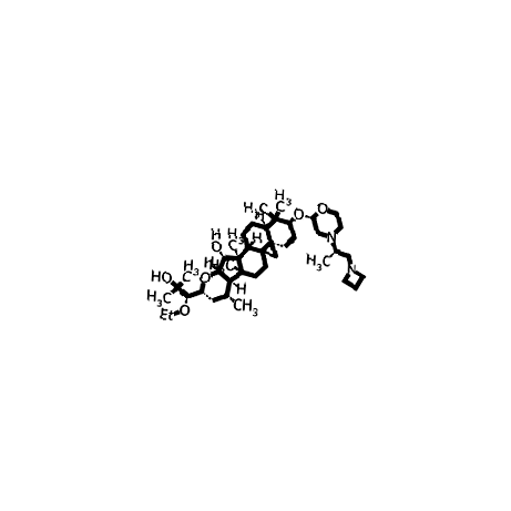 CCO[C@@H]([C@H]1C[C@@H](C)[C@H]2[C@H](O1)[C@H](O)[C@@]1(C)[C@@H]3CC[C@H]4C(C)(C)[C@@H](O[C@H]5CN([C@@H](C)CN6CCC6)CCO5)CC[C@@]45C[C@@]35CC[C@]21C)C(C)(C)O